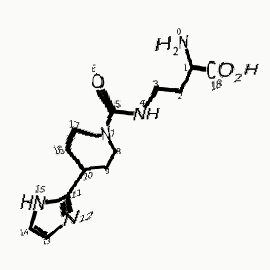 NC(CCNC(=O)N1CCC(c2ncc[nH]2)CC1)C(=O)O